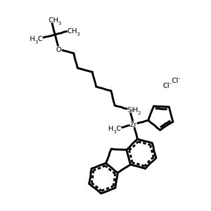 CC(C)(C)OCCCCCC[SiH2][Zr]([CH3])([c]1cccc2c1Cc1ccccc1-2)[CH]1C=CC=C1.[Cl-].[Cl-]